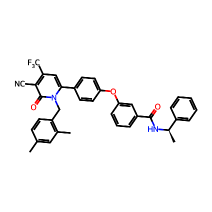 Cc1ccc(Cn2c(-c3ccc(Oc4cccc(C(=O)N[C@H](C)c5ccccc5)c4)cc3)cc(C(F)(F)F)c(C#N)c2=O)c(C)c1